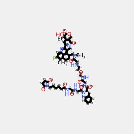 CC[C@@]1(O)C(=O)OCc2c1cc1n(c2=O)Cc2c-1nc1cc(F)c(C)c3c1c2C(/C=[N+](/C)C(=O)CNCCOCNC(=O)CNC(=O)[C@H](Cc1ccccc1)NC(=O)CNC(=O)CNC(=O)CCCCCN1C(=O)C=CC1=O)CC3